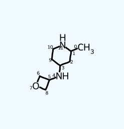 CC1CC(NC2COC2)CCN1